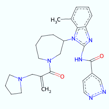 C=C(CN1CCCC1)C(=O)N1CCCCC(n2c(NC(=O)c3ccnnc3)nc3cccc(C)c32)C1